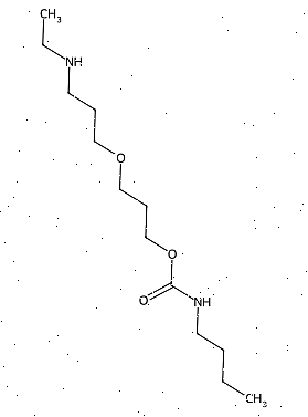 CCCCNC(=O)OCCCOCCCNCC